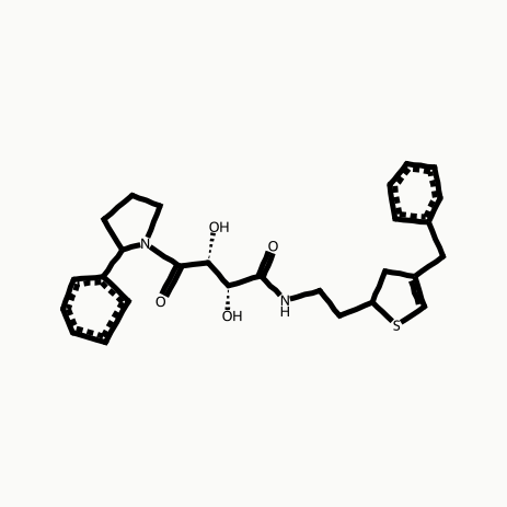 O=C(NCCC1CC(Cc2ccccc2)=CS1)[C@H](O)[C@@H](O)C(=O)N1CCCC1c1ccccc1